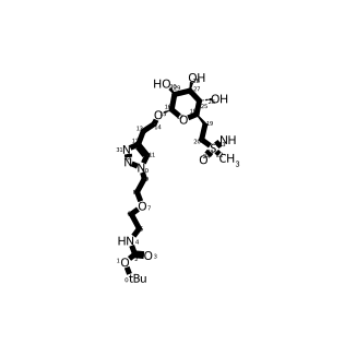 CC(C)(C)OC(=O)NCCOCCn1cc(CCO[C@H]2O[C@H](CCS(C)(=N)=O)[C@@H](O)[C@H](O)[C@@H]2O)nn1